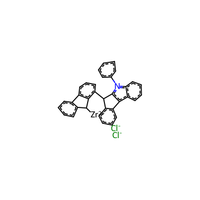 [Cl-].[Cl-].[Zr+2][CH]1c2ccccc2-c2cccc(C3c4ccccc4-c4c3n(-c3ccccc3)c3ccccc43)c21